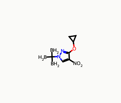 BC(B)(B)n1cc([N+](=O)[O-])c(OC2CC2)n1